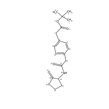 CC(C)(C)OC(=O)Cc1ccc(CC(=O)NC2CCOC2=O)cc1